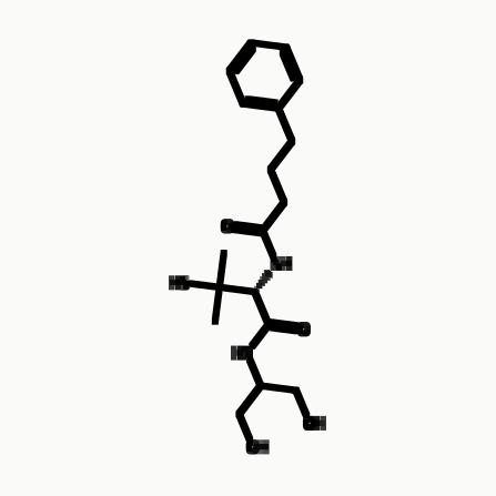 CC(C)(S)[C@H](NC(=O)CCCc1ccccc1)C(=O)NC(CO)CO